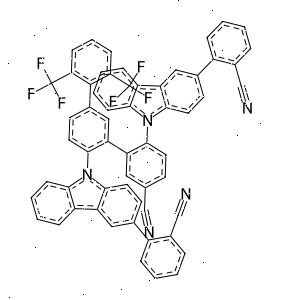 N#Cc1ccc(-n2c3ccccc3c3cc(-c4ccccc4C#N)ccc32)c(-c2cc(-c3c(C(F)(F)F)cccc3C(F)(F)F)ccc2-n2c3ccccc3c3cc(-c4ccccc4C#N)ccc32)c1